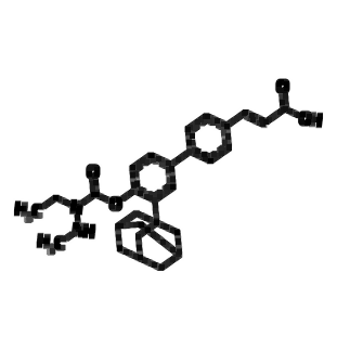 CCN(NC)C(=O)Oc1ccc(-c2ccc(C=CC(=O)O)cc2)cc1C12CC3CC(CC(C3)C1)C2